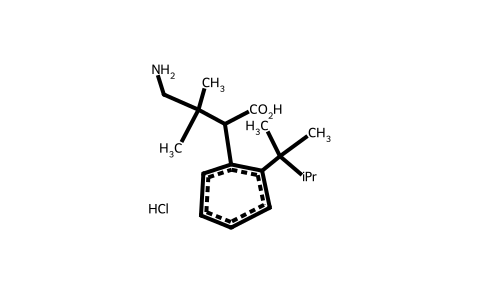 CC(C)C(C)(C)c1ccccc1C(C(=O)O)C(C)(C)CN.Cl